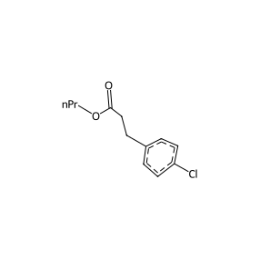 CCCOC(=O)CCc1ccc(Cl)cc1